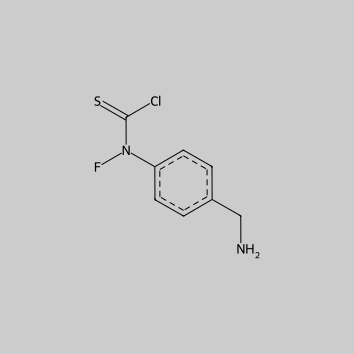 NCc1ccc(N(F)C(=S)Cl)cc1